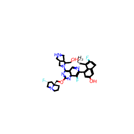 CCc1c(F)ccc2cc(O)cc(-c3ncc4c(N5CC6CNCC6C5CO)nc(OC[C@@]56CCCN5C[C@H](F)C6)nc4c3F)c12